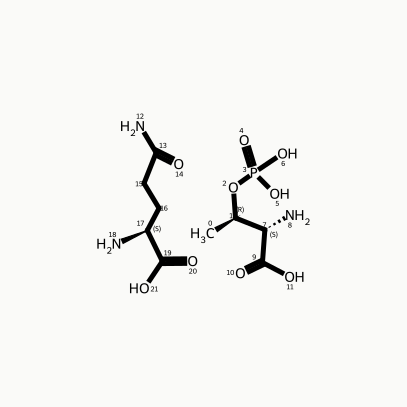 C[C@@H](OP(=O)(O)O)[C@H](N)C(=O)O.NC(=O)CC[C@H](N)C(=O)O